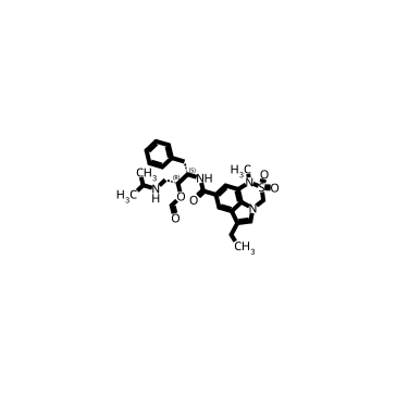 CCc1cn2c3c(cc(C(=O)N[C@@H](Cc4ccccc4)[C@@H](CNC(C)C)OC=O)cc13)N(C)S(=O)(=O)C2